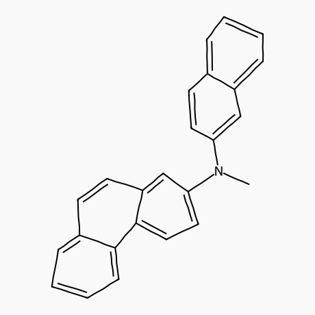 CN(c1ccc2ccccc2c1)c1ccc2c(ccc3ccccc32)c1